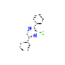 Clc1nc(-c2ccccc2)cnc1-c1ccccc1